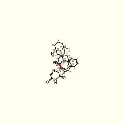 O=c1cnn(-c2nc3ccccc3n([C@@H]3C[C@H]4CCC[C@@H](C3)N4[C@@H]3C[C@@H]4CCCC[C@@H](C4)C3)c2=O)c(=O)[nH]1